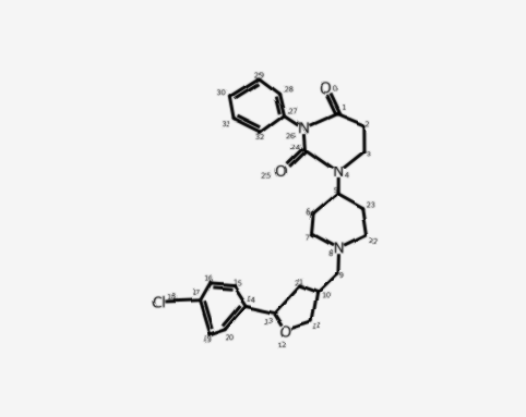 O=C1CCN(C2CCN(CC3COC(c4ccc(Cl)cc4)C3)CC2)C(=O)N1c1ccccc1